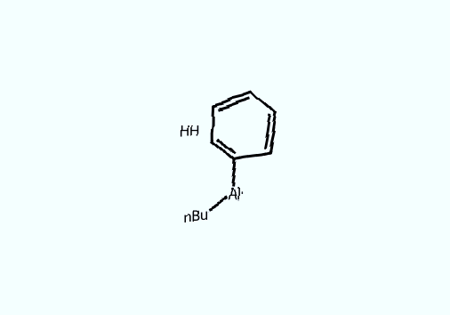 CCC[CH2][Al][c]1ccccc1.[HH]